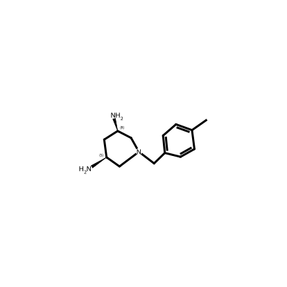 Cc1ccc(CN2C[C@H](N)C[C@H](N)C2)cc1